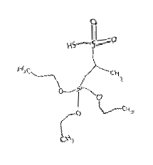 CCO[Si](CC(C)S(=O)(=O)S)(OCC)OCC